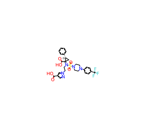 O=C(O)c1cnn(CCN([C@]2(C(=O)O)C[C@H]2c2ccccc2)S(=O)(=O)N2CCN(c3ccc(C(F)(F)F)cc3)CC2)c1